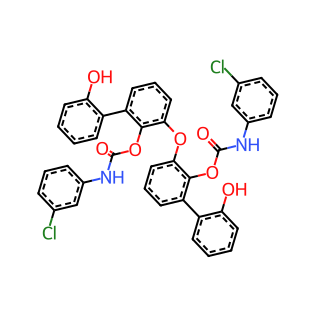 O=C(Nc1cccc(Cl)c1)Oc1c(Oc2cccc(-c3ccccc3O)c2OC(=O)Nc2cccc(Cl)c2)cccc1-c1ccccc1O